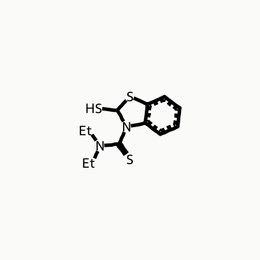 CCN(CC)C(=S)N1c2ccccc2SC1S